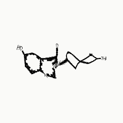 O=c1c2cc(O)ccc2ncn1C1CC2(CC(O)C2)C1